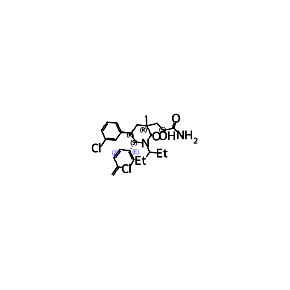 C=C(Cl)/C=C\C(=C/C)[C@@H]1[C@@H](c2cccc(Cl)c2)C[C@](C)(C[C@H](O)C(N)=O)C(=O)N1C(CC)CC